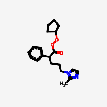 Cc1nccn1CCCC(C(=O)OOC1CCCC1)c1ccccc1